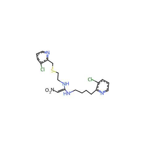 O=[N+]([O-])C=C(NCCCCc1ncccc1Cl)NCCSCc1ncccc1Cl